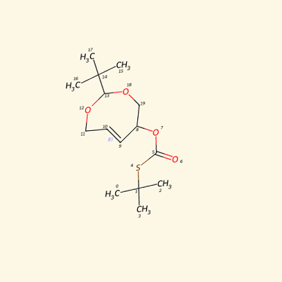 CC(C)(C)SC(=O)OC1/C=C/COC(C(C)(C)C)OC1